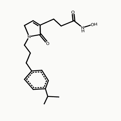 CC(C)c1ccc(CCCN2CC=C(CCC(=O)NO)C2=O)cc1